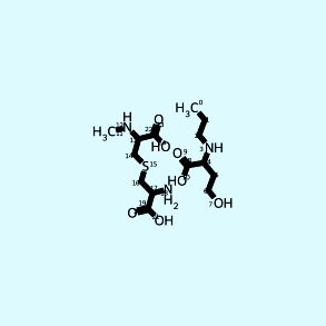 CCCNC(CCO)C(=O)O.CNC(CSCC(N)C(=O)O)C(=O)O